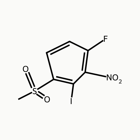 CS(=O)(=O)c1ccc(F)c([N+](=O)[O-])c1I